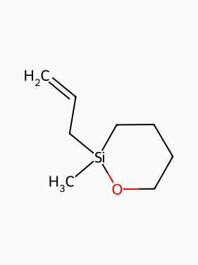 C=CC[Si]1(C)CCCCO1